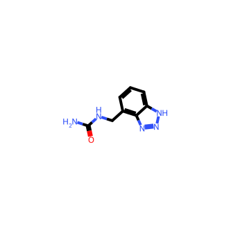 NC(=O)NCc1cccc2[nH]nnc12